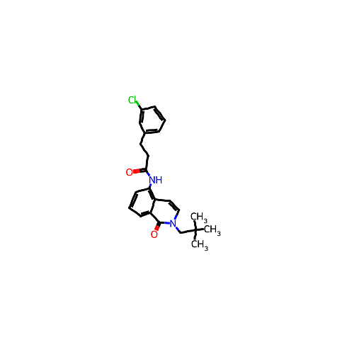 CC(C)(C)Cn1ccc2c(NC(=O)CCc3cccc(Cl)c3)cccc2c1=O